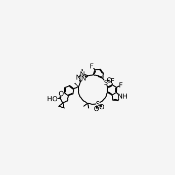 Cn1nc2nc1-c1cc(ccc1F)[S+]([O-])c1c(F)c(F)c3[nH]ccc3c1CCS(=O)(=O)CC(C)(C)CCC[C@]2(C)c1cccc(CC2(C(=O)O)CC2)c1